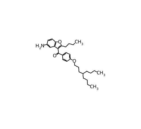 CCCCc1oc2ccc(N)cc2c1C(=O)c1ccc(OCCCC(CCCC)CCCC)cc1